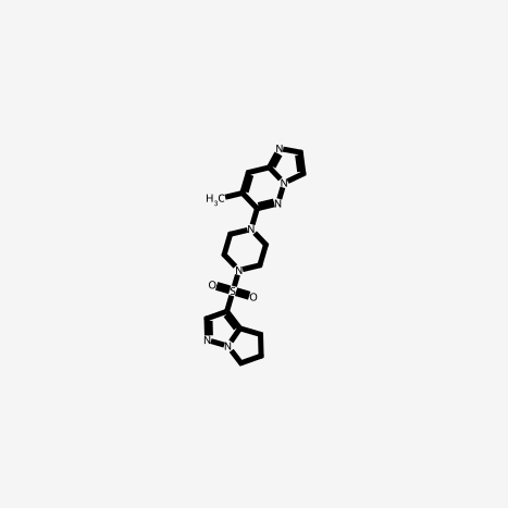 Cc1cc2nccn2nc1N1CCN(S(=O)(=O)c2cnn3c2CCC3)CC1